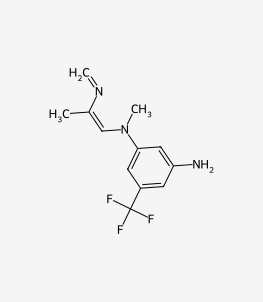 C=N/C(C)=C\N(C)c1cc(N)cc(C(F)(F)F)c1